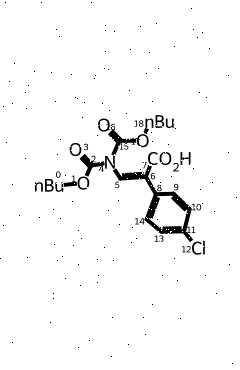 CCCCOC(=O)N(C=C(C(=O)O)c1ccc(Cl)cc1)C(=O)OCCCC